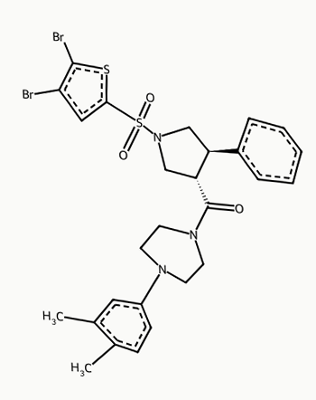 Cc1ccc(N2CCN(C(=O)[C@@H]3CN(S(=O)(=O)c4cc(Br)c(Br)s4)C[C@H]3c3ccccc3)CC2)cc1C